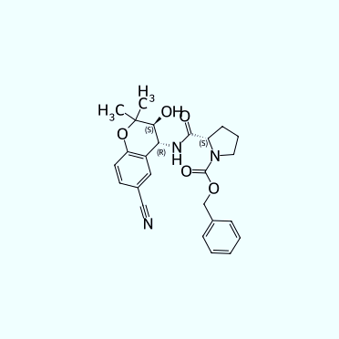 CC1(C)Oc2ccc(C#N)cc2[C@@H](NC(=O)[C@@H]2CCCN2C(=O)OCc2ccccc2)[C@@H]1O